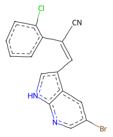 N#CC(=Cc1c[nH]c2ncc(Br)cc12)c1ccccc1Cl